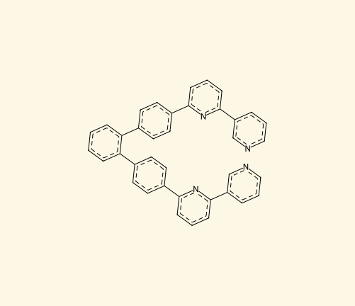 c1cncc(-c2cccc(-c3ccc(-c4ccccc4-c4ccc(-c5cccc(-c6cccnc6)n5)cc4)cc3)n2)c1